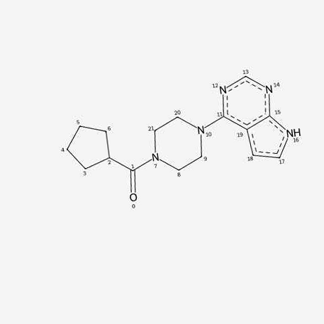 O=C(C1CCCC1)N1CCN(c2ncnc3[nH]ccc23)CC1